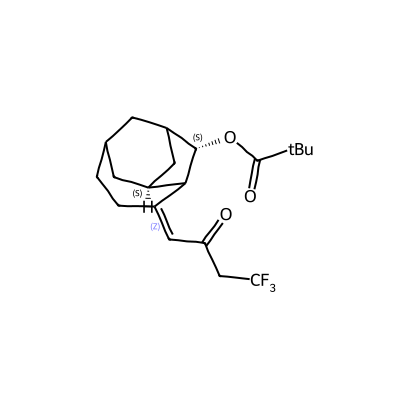 CC(C)(C)C(=O)O[C@H]1C2CC3CC/C(=C/C(=O)CC(F)(F)F)C1[C@@H](C3)C2